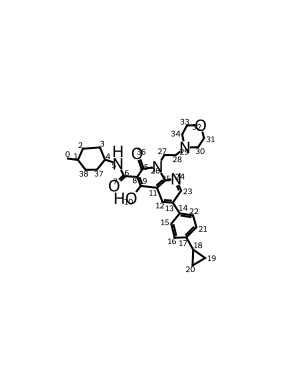 CC1CCC(NC(=O)c2c(O)c3cc(-c4ccc(C5CC5)cc4)cnc3n(CCN3CCOCC3)c2=O)CC1